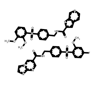 COc1cc(F)ccc1S(=O)(=O)c1ccc(CNC(=O)c2cnc3nccn3c2)cc1.COc1cccc(S(=O)(=O)c2ccc(CNC(=O)c3cc4ccncc4s3)cc2)c1OC